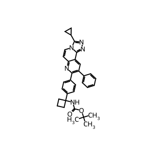 CC(C)(C)OC(=O)NC1(c2ccc(-c3nc4ccn5c(C6CC6)nnc5c4cc3-c3ccccc3)cc2)CCC1